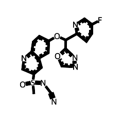 CS(=O)(=NC#N)c1cnc2ccc(OC(c3ccc(F)cn3)c3nnco3)cc2c1